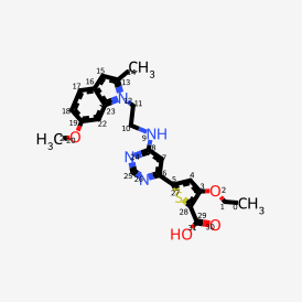 CCOc1cc(-c2cc(NCCn3c(C)cc4ccc(OC)cc43)ncn2)sc1C(=O)O